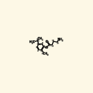 Cc1ccc(C(C)C)cc1OC(=O)CCCN